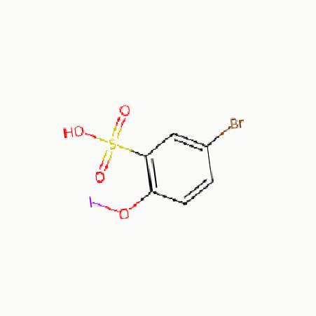 O=S(=O)(O)c1cc(Br)ccc1OI